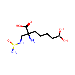 N[S+]([O-])NCC(N)(CCCCB(O)O)C(=O)O